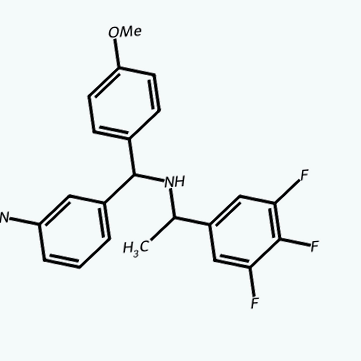 COc1ccc(C(NC(C)c2cc(F)c(F)c(F)c2)c2cccc(N)c2)cc1